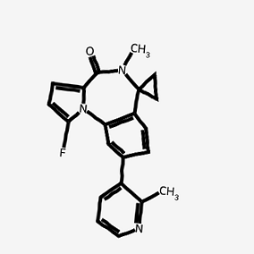 Cc1ncccc1-c1ccc2c(c1)-n1c(F)ccc1C(=O)N(C)C21CC1